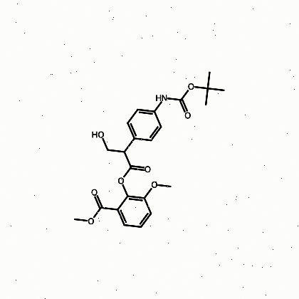 COC(=O)c1cccc(OC)c1OC(=O)C(CO)c1ccc(NC(=O)OC(C)(C)C)cc1